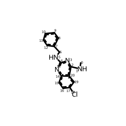 CNc1nc(NCc2ccccc2)nc2ccc(Cl)cc12